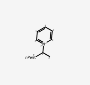 CCCCCC(C)[n+]1ccccc1